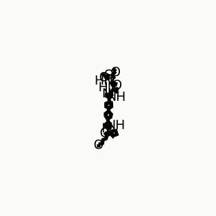 COCCCC(=O)N1CCC[C@H]1c1ncc(-c2ccc(-c3ccc(-c4cnc([C@H](NC(=O)[C@H](CCOC)NC(=O)OC)C(C)C)[nH]4)cc3)cc2)[nH]1